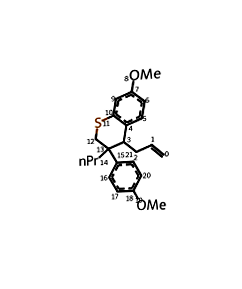 C=CCC1c2ccc(OC)cc2SCC1(CCC)c1ccc(OC)cc1